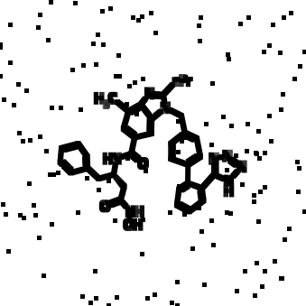 CCCc1nc2c(C)cc(C(=O)N[C@@H](CC(=O)NO)Cc3ccccc3)cc2n1Cc1ccc(-c2ccccc2-c2nnn[nH]2)cc1